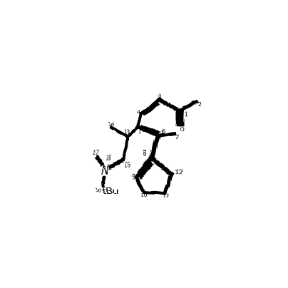 C=C(C)/C=C\C(=C(/C)C1=CCCC1)C(C)CN(C)C(C)(C)C